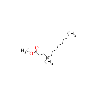 CCCCCCCC[C@H](C)CCC(=O)OC